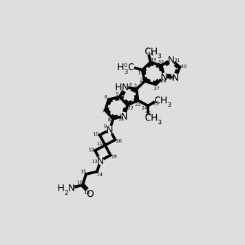 Cc1c(-c2[nH]c3ccc(N4CC5(CN(CCC(N)=O)C5)C4)nc3c2C(C)C)cn2ncnc2c1C